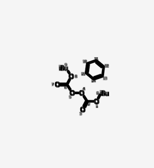 CCC(C)OC(=O)OOC(=O)OC(C)CC.c1ccccc1